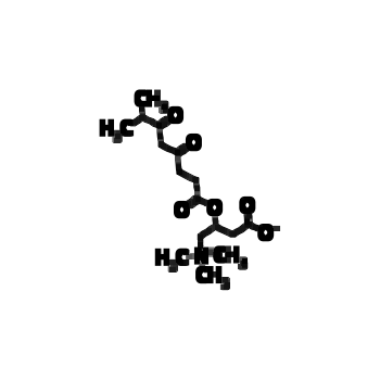 CC(C)C(=O)CC(=O)CCC(=O)OC(CC(=O)[O-])C[N+](C)(C)C